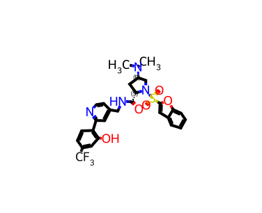 CN(C)[C@@H]1C[C@@H](C(=O)NCc2ccnc(-c3ccc(C(F)(F)F)cc3O)c2)N(S(=O)(=O)c2cc3ccccc3o2)C1